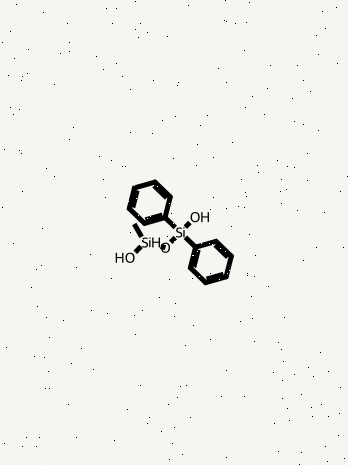 C[SiH](O)O[Si](O)(c1ccccc1)c1ccccc1